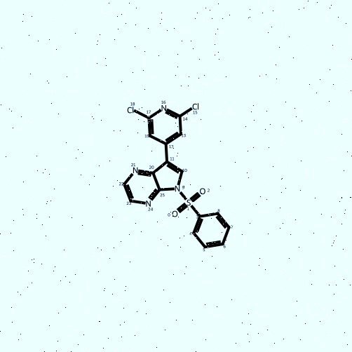 O=S(=O)(c1ccccc1)n1cc(-c2cc(Cl)nc(Cl)c2)c2nccnc21